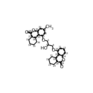 Cc1cc(OCC(O)COc2cccc3oc(=O)c4c(c23)CCCC4)c2c3c(c(=O)oc2c1)CCCC3